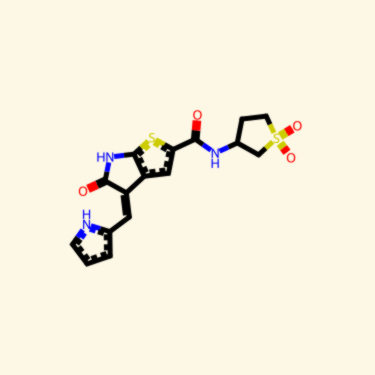 O=C1Nc2sc(C(=O)NC3CCS(=O)(=O)C3)cc2C1=Cc1ccc[nH]1